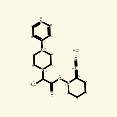 CC(C(=O)ON1CCCCC1=C=O)N1CCN(c2ccncc2)CC1.Cl